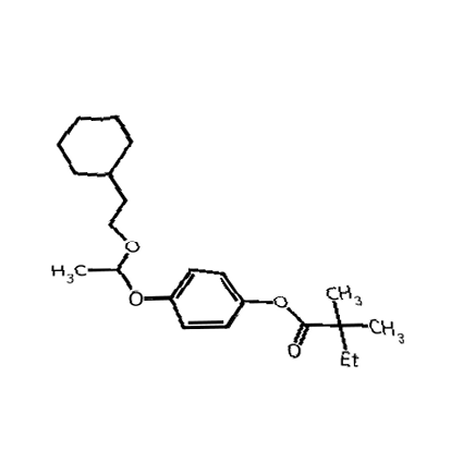 CCC(C)(C)C(=O)Oc1ccc(OC(C)OCCC2CCCCC2)cc1